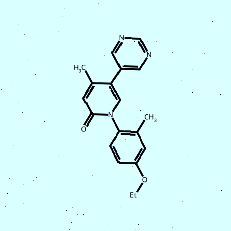 CCOc1ccc(-n2cc(-c3cncnc3)c(C)cc2=O)c(C)c1